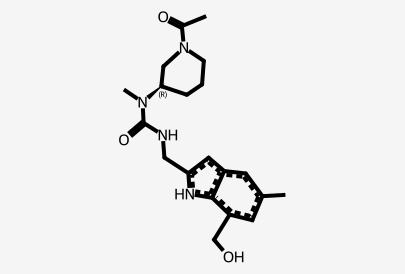 CC(=O)N1CCC[C@@H](N(C)C(=O)NCc2cc3cc(C)cc(CO)c3[nH]2)C1